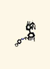 COc1ccc(/C=C/CNc2cccc(-c3ccnc4[c]cnn34)c2)cc1